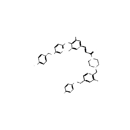 Cc1cc(/C=C/C(=O)N2CCN(Cc3ccc(COc4ccc(F)cc4)cc3F)CC2)cc(Cl)c1Oc1ccc(OCc2ccc(C#N)cc2)cn1